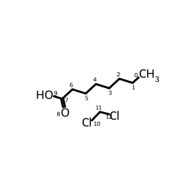 CCCCCCCC(=O)O.ClCCl